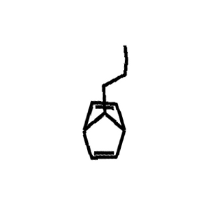 CCCC1C2C=CC1C=C2